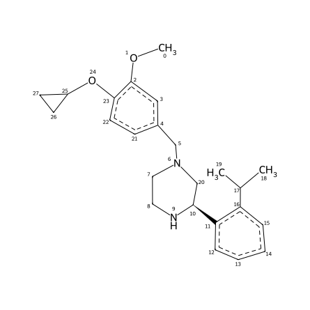 COc1cc(CN2CCN[C@H](c3ccccc3C(C)C)C2)ccc1OC1CC1